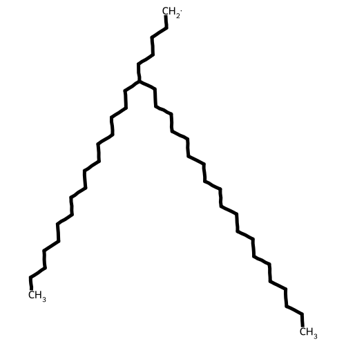 [CH2]CCCCC(CCCCCCCCCCCCCCCC)CCCCCCCCCCCCCCCCCCCC